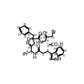 CC(C)[C@H](NC(=O)CCc1c[nH]c2ccccc12)C1=NOC(Cc2ccccc2)(C(=O)N[C@@H](CC(=O)O)C(=O)CBr)C1